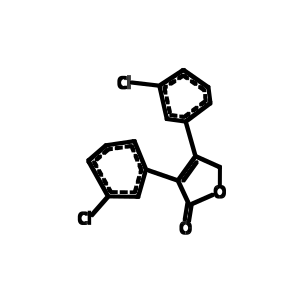 O=C1OCC(c2cccc(Cl)c2)=C1c1cccc(Cl)c1